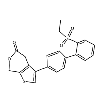 CCS(=O)(=O)c1ccccc1-c1ccc(-c2csc3c2CC(=O)OC3)cc1